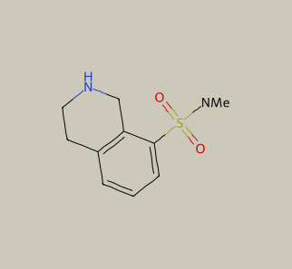 CNS(=O)(=O)c1cccc2c1CNCC2